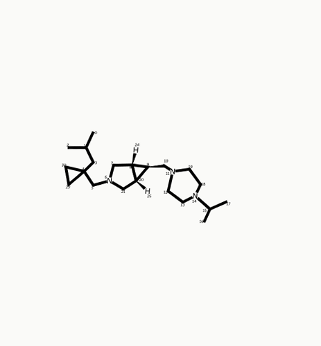 CC(C)CC1(CN2C[C@@H]3[C@@H](CN4CCN(C(C)C)CC4)[C@@H]3C2)CC1